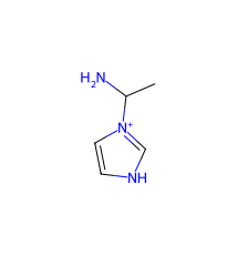 CC(N)[n+]1cc[nH]c1